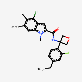 COc1cc2c(cc(C(=O)NC3(c4ccc(CC(=O)O)cc4F)COC3)n2C)c(Cl)c1C